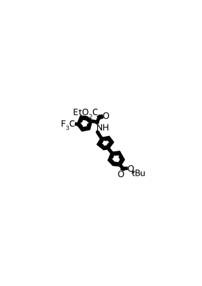 CCOC(=O)C(=O)C(NCc1ccc(-c2ccc(C(=O)OC(C)(C)C)cc2)cc1)c1ccc(C(F)(F)F)cc1